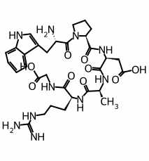 C[C@H](NC(=O)[C@H](CC(=O)O)NC(=O)[C@@H]1CCCN1C(=O)[C@@H](N)Cc1c[nH]c2ccccc12)C(=O)N[C@@H](CCCNC(=N)N)C(=O)NCC(=O)O